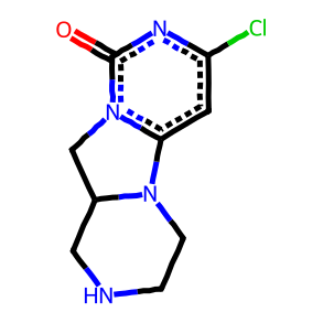 O=c1nc(Cl)cc2n1CC1CNCCN21